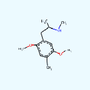 CNC(C)Cc1cc(OC)c(C)cc1OC